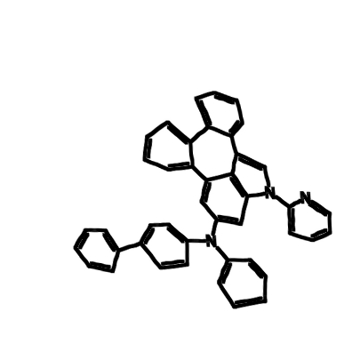 c1ccc(-c2ccc(N(c3ccccc3)c3cc4c5c(cn(-c6ccccn6)c5c3)-c3ccccc3-c3ccccc3-4)cc2)cc1